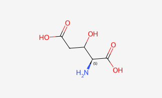 N[C@H](C(=O)O)C(O)CC(=O)O